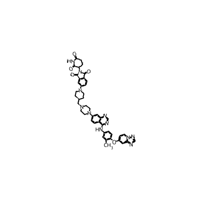 Cc1cc(Nc2ncnc3cc(N4CCN(CC5CCN(c6ccc7c(c6)C(=O)N(C6CCC(=O)NC6=O)C7=O)CC5)CC4)ccc23)ccc1Oc1ccn2ncnc2c1